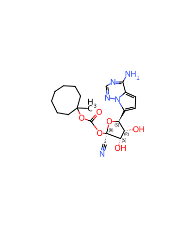 CC1(OC(=O)O[C@@]2(C#N)O[C@@H](c3ccc4c(N)ncnn34)[C@H](O)[C@@H]2O)CCCCCCC1